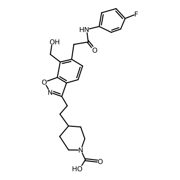 O=C(Cc1ccc2c(CCC3CCN(C(=O)O)CC3)noc2c1CO)Nc1ccc(F)cc1